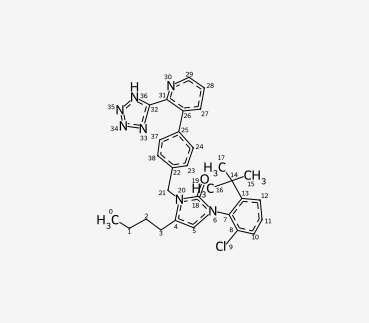 CCCCc1cn(-c2c(Cl)cccc2C(C)(C)C)c(=O)n1Cc1ccc(-c2cccnc2-c2nnn[nH]2)cc1